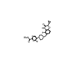 CNC(=O)c1ncc(N2CCN(Cc3ccc4c(c3F)NC(=O)C(C3CC3)O4)CC2)c(F)n1